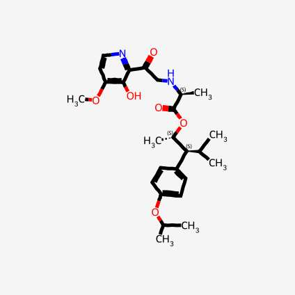 COc1ccnc(C(=O)CN[C@@H](C)C(=O)O[C@@H](C)[C@H](c2ccc(OC(C)C)cc2)C(C)C)c1O